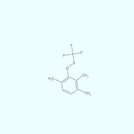 Cc1ccc(C)c(OSC(F)(F)F)c1C